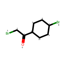 O=C(CBr)C1CCC(Br)CC1